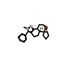 Cn1nc2c(c1-c1ccccc1)CC[C@H]1C3(CCCC3)C3(CC[C@]21C)OCCO3